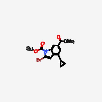 COC(=O)c1cc(C2CC2)c2cc(Br)n(C(=O)OC(C)(C)C)c2c1